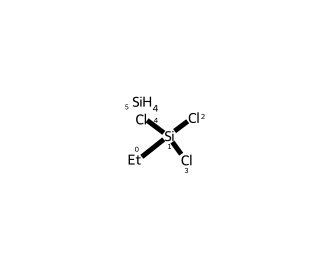 CC[Si](Cl)(Cl)Cl.[SiH4]